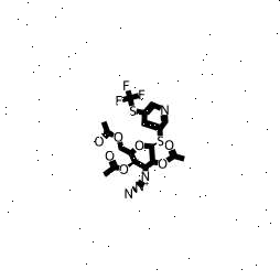 CC(=O)OCC1O[C@H](Sc2cncc(SC(F)(F)F)c2)C(OC(C)=O)C(N=[N+]=[N-])[C@H]1OC(C)=O